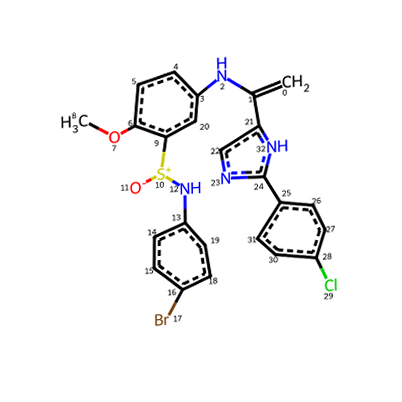 C=C(Nc1ccc(OC)c([S+]([O-])Nc2ccc(Br)cc2)c1)c1cnc(-c2ccc(Cl)cc2)[nH]1